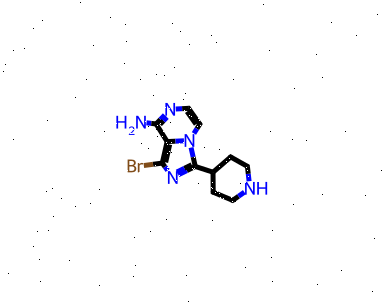 Nc1nccn2c(C3CCNCC3)nc(Br)c12